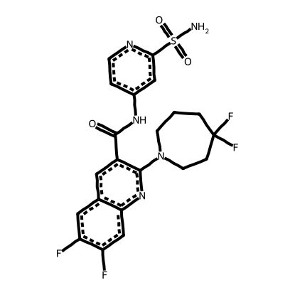 NS(=O)(=O)c1cc(NC(=O)c2cc3cc(F)c(F)cc3nc2N2CCCC(F)(F)CC2)ccn1